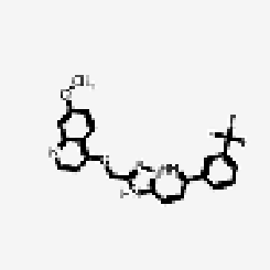 COc1ccc2c(OCc3nnc(/C=C\C(=N)c4cccc(C(F)(F)F)c4)[nH]3)ccnc2c1